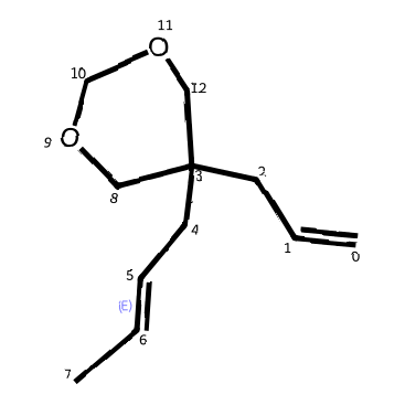 C=CCC1(C/C=C/C)COCOC1